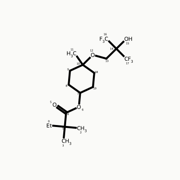 CCC(C)(C)C(=O)OC1CCC(C)(OCC(O)(C(F)(F)F)C(F)(F)F)CC1